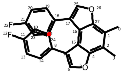 Cc1c(C)c2occ(-c3ccc(F)cc3)c2c2c(-c3ccc(F)cc3)coc12